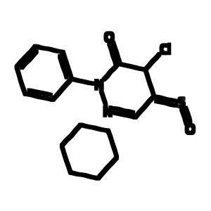 C1CCCCC1.O=S=C1C=NN(c2ccccc2)C(=O)C1Cl